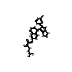 Cc1cccc(-c2nn3c(c2-c2ccnc4cc(OC(=O)N(C)CCN(C)C)ccc24)CCC3)n1